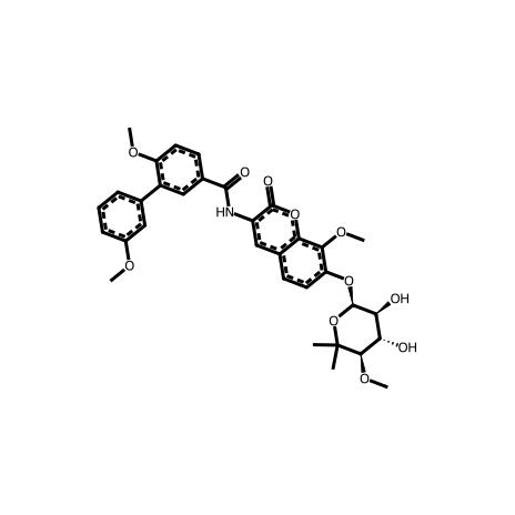 COc1cccc(-c2cc(C(=O)Nc3cc4ccc(O[C@@H]5OC(C)(C)[C@H](OC)[C@@H](O)[C@@H]5O)c(OC)c4oc3=O)ccc2OC)c1